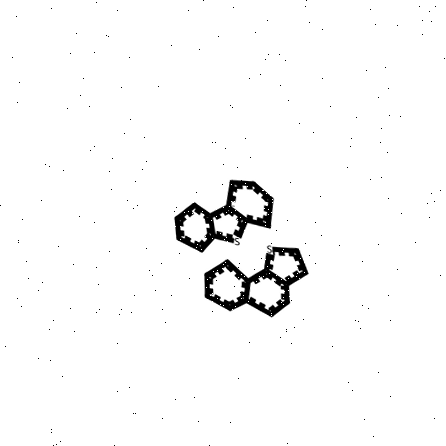 c1ccc2c(c1)ccc1ccsc12.c1ccc2c(c1)sc1ccccc12